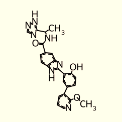 COc1ncccc1-c1ccc(O)c(-c2nc3cc(C(=O)NC(C)c4ncn[nH]4)ccc3[nH]2)c1